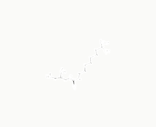 CCCCCCCCC(O)CCCCCCCCC(=O)OCC(O)CO